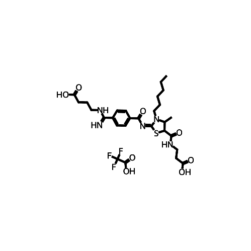 CCCCCCN1C(=NC(=O)c2ccc(C(=N)NCCCC(=O)O)cc2)SC(C(=O)NCCC(=O)O)C1C.O=C(O)C(F)(F)F